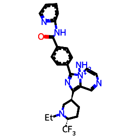 CCN1C[C@@H](C2=C3C=NC=C[N+]3(N)C(c3ccc(C(=O)Nc4ccccn4)cc3)=N2)CC[C@@H]1C(F)(F)F